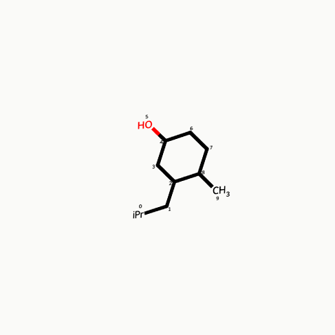 CC(C)CC1CC(O)CCC1C